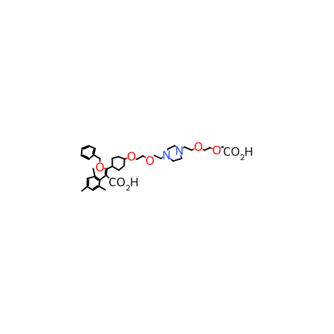 Cc1cc(C)c(/C(C(=O)O)=C(\OCc2ccccc2)C2CCC(OCCOCCN3CCN(CCOCCOCC(=O)O)CC3)CC2)c(C)c1